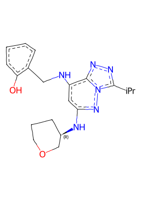 CC(C)c1nnc2c(NCc3ccccc3O)cc(N[C@@H]3CCCOC3)nn12